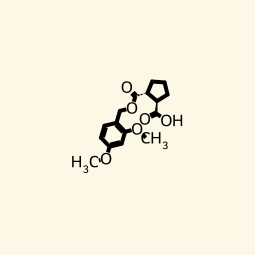 COc1ccc(COC(=O)[C@@H]2CCC[C@H]2C(=O)O)c(OC)c1